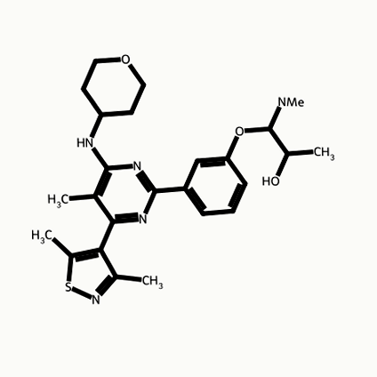 CNC(Oc1cccc(-c2nc(NC3CCOCC3)c(C)c(-c3c(C)nsc3C)n2)c1)C(C)O